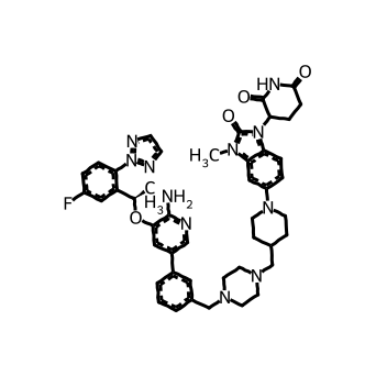 C[C@@H](Oc1cc(-c2cccc(CN3CCN(CC4CCN(c5ccc6c(c5)n(C)c(=O)n6C5CCC(=O)NC5=O)CC4)CC3)c2)cnc1N)c1cc(F)ccc1-n1nccn1